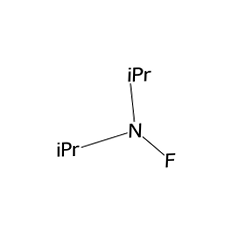 CC(C)N(F)C(C)C